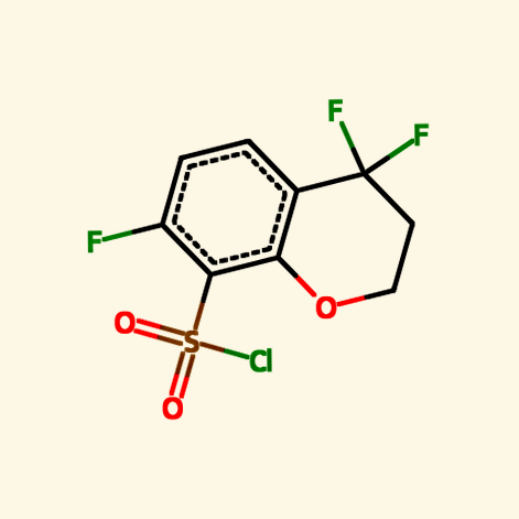 O=S(=O)(Cl)c1c(F)ccc2c1OCCC2(F)F